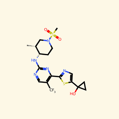 C[C@@H]1CN(S(C)(=O)=O)CC[C@@H]1Nc1ncc(C(F)(F)F)c(-c2ncc(C3(O)CC3)s2)n1